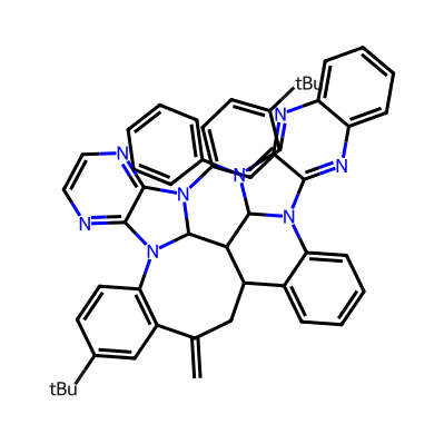 C=C1CC2c3ccccc3N3c4nc5ccccc5nc4N(c4ccccc4)C3C2C2N(c3ccc(C(C)(C)C)cc3)c3nccnc3N2c2ccc(C(C)(C)C)cc21